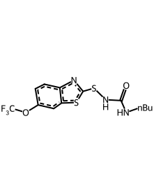 CCCCNC(=O)NSc1nc2ccc(OC(F)(F)F)cc2s1